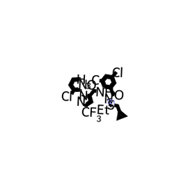 CC/S(CC1CC1)=N/C(=O)c1cc(Cl)cc(C)c1NC(=O)c1cc(C(F)(F)F)nn1-c1ncccc1Cl